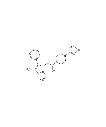 CC1=C(c2ccccc2)C(CC(O)C2CCN(c3cc[nH]n3)CC2)n2cncc21